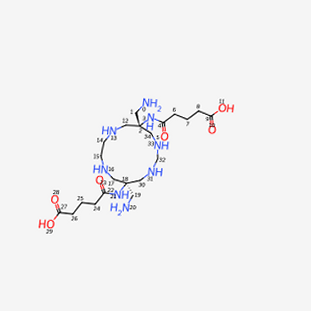 NC[C@]1(NC(=O)CCCC(=O)O)CNCCNC[C@](CN)(NC(=O)CCCC(=O)O)CNCNC1